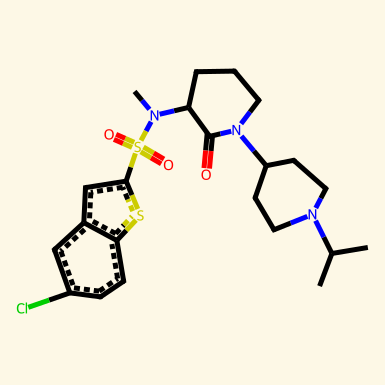 CC(C)N1CCC(N2CCCC(N(C)S(=O)(=O)c3cc4cc(Cl)ccc4s3)C2=O)CC1